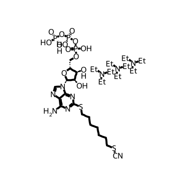 CCN(CC)CC.CCN(CC)CC.CCN(CC)CC.N#CSCCCCCCCSc1nc(N)c2ncn([C@@H]3O[C@H](COP(=O)(O)OP(=O)(O)OP(=O)(O)O)[C@@H](O)[C@H]3O)c2n1